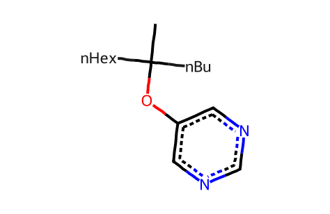 CCCCCCC(C)(CCCC)Oc1cncnc1